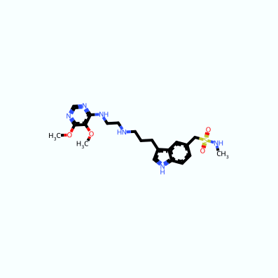 CNS(=O)(=O)Cc1ccc2[nH]cc(CCCNCCNc3ncnc(OC)c3OC)c2c1